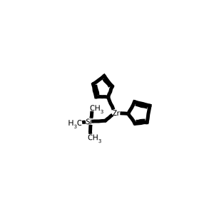 C[Si](C)(C)[CH2][Zr]([CH]1C=CC=C1)[CH]1C=CC=C1